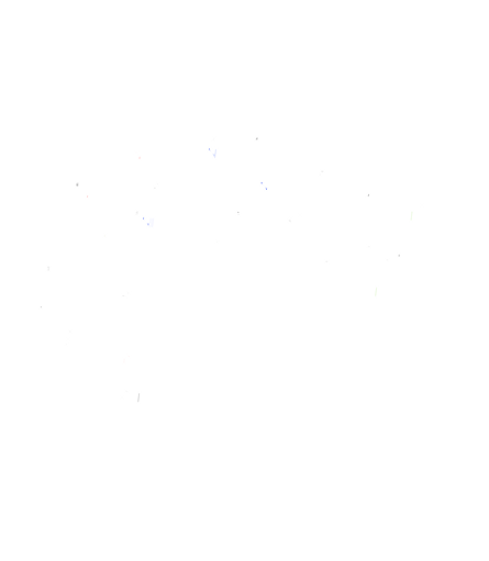 COc1cccc([S+]([O-])NC(=O)c2ncn(-c3ccc(C(F)(F)F)cc3)c2Cl)c1